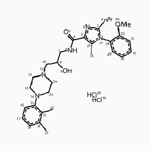 CCCc1nc(C(=O)NCC(O)CN2CCN(c3cccc(C)c3C)CC2)c(C)n1-c1ccccc1OC.Cl.Cl